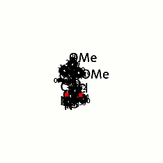 C=CCOC[C@H](COC(c1ccccc1)(c1ccc(OC)cc1)c1ccc(OC)cc1)Oc1c(Cl)c(C)c(-c2c(C3=CCCC3)sc3ncnc(Cl)c23)c(C)c1Cl